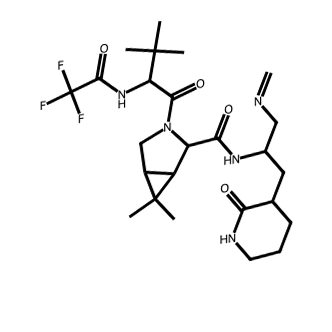 C=NCC(CC1CCCNC1=O)NC(=O)C1C2C(CN1C(=O)C(NC(=O)C(F)(F)F)C(C)(C)C)C2(C)C